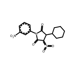 O=C1C(=S(=O)=O)C(C2CCCCC2)C(=O)N1c1cccc([N+](=O)[O-])c1